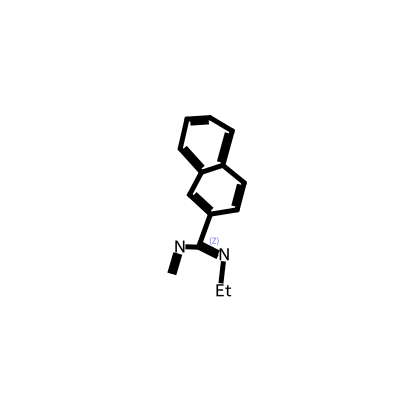 C=N/C(=N\CC)c1ccc2ccccc2c1